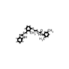 Cc1ccc(C)c(NC(=O)OCCSc2cccc(CSc3nc4ccccc4[nH]3)c2C)c1